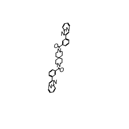 O=C(c1cccc(-c2cn3ccccc3n2)c1)N1CCC2(CC1)CCN(C(=O)c1cccc(-c3cn4ccccc4n3)c1)CC2